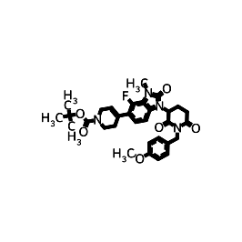 COc1ccc(CN2C(=O)CCC(n3c(=O)n(C)c4c(F)c(C5=CCN(C(=O)OC(C)(C)C)CC5)ccc43)C2=O)cc1